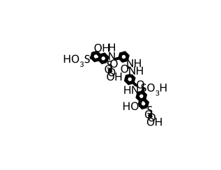 O=C(Nc1cccc(C(=O)Nc2cc3c(O)cc(S(=O)(=O)O)cc3cc2SOOO)c1)Nc1cccc(C(=O)Nc2cc3c(O)cc(SOOO)cc3cc2S(=O)(=O)O)c1